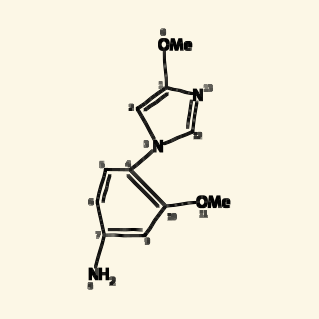 COc1cn(-c2ccc(N)cc2OC)cn1